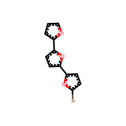 Brc1ccc(-c2ccc(-c3ccco3)o2)o1